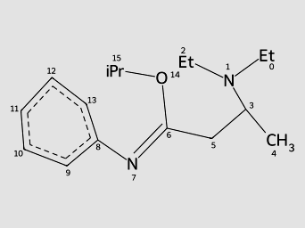 CCN(CC)C(C)C/C(=N/c1ccccc1)OC(C)C